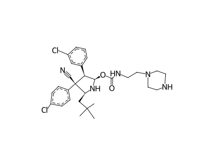 CC(C)(C)C[C@@H]1N[C@H](OC(=O)NCCN2CCNCC2)[C@H](c2cccc(Cl)c2)[C@@]1(C#N)c1ccc(Cl)cc1